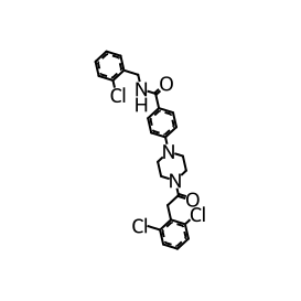 O=C(NCc1ccccc1Cl)c1ccc(N2CCN(C(=O)Cc3c(Cl)cccc3Cl)CC2)cc1